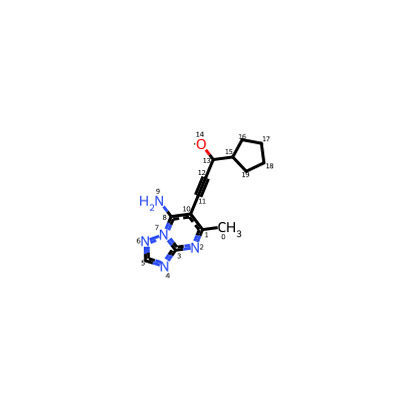 Cc1nc2ncnn2c(N)c1C#CC([O])C1CCCC1